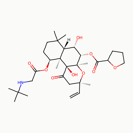 C=C[C@@]1(C)CC(=O)[C@]2(O)[C@@]3(C)[C@@H](OC(=O)CNC(C)(C)C)CCC(C)(C)[C@@H]3[C@H](O)[C@H](OC(=O)C3CCCO3)[C@@]2(C)O1